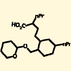 CCCC1CCC(COC2CCCCO2)C(CCC(CCC)C(=O)O)C1